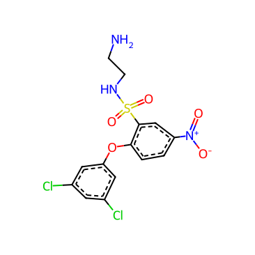 NCCNS(=O)(=O)c1cc([N+](=O)[O-])ccc1Oc1cc(Cl)cc(Cl)c1